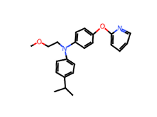 COCCN(c1ccc(Oc2ccccn2)cc1)c1ccc(C(C)C)cc1